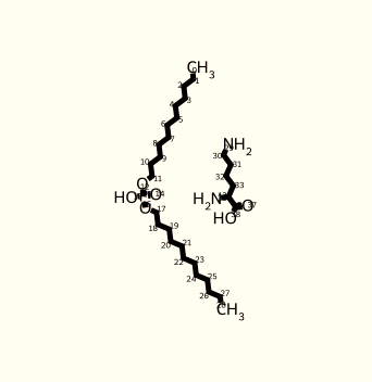 CCCCCCCCCCCCOP(=O)(O)OCCCCCCCCCCCC.NCCCCC(N)C(=O)O